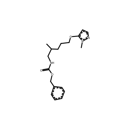 CC(CCCOc1ccnn1C)CNC(=O)OCc1ccccc1